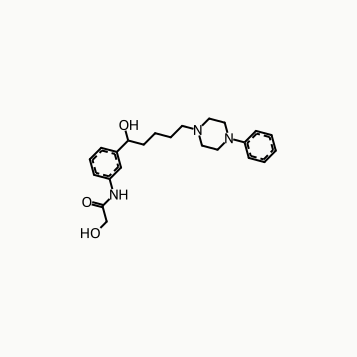 O=C(CO)Nc1cccc(C(O)CCCCN2CCN(c3ccccc3)CC2)c1